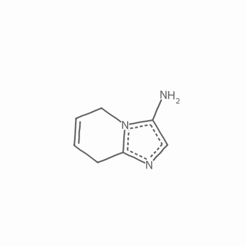 Nc1cnc2n1CC=CC2